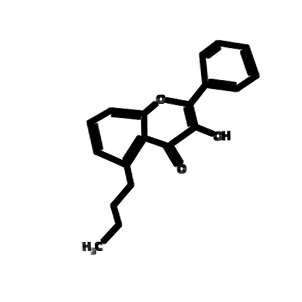 CCCCc1cccc2oc(-c3ccccc3)c(O)c(=O)c12